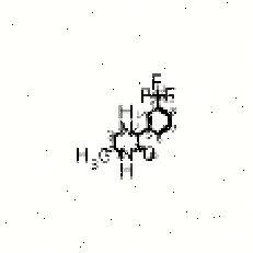 C[C@@H]1CNC(c2cccc(C(F)(F)F)c2)C(=O)N1